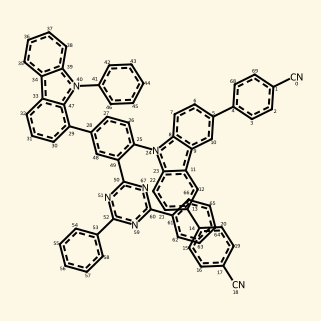 N#Cc1ccc(-c2ccc3c(c2)c2cc(-c4ccc(C#N)cc4)ccc2n3-c2ccc(-c3cccc4c5ccccc5n(-c5ccccc5)c34)cc2-c2nc(-c3ccccc3)nc(-c3ccccc3)n2)cc1